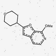 COc1nccc2cc(C3CCOCC3)oc12